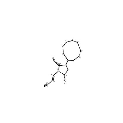 O=C1CC(C2CCCCCCCC2)C(=O)N1/C=C/O